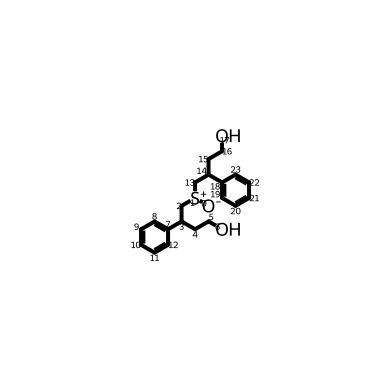 [O-][S+](CC(CCO)c1ccccc1)CC(CCO)c1ccccc1